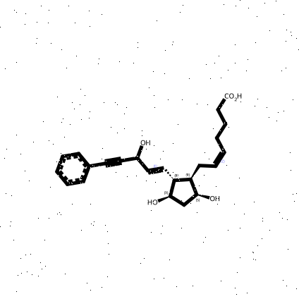 O=C(O)CCC/C=C\C[C@@H]1[C@@H](/C=C/C(O)C#Cc2ccccc2)[C@H](O)C[C@@H]1O